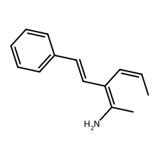 C\C=C/C(/C=C/c1ccccc1)=C(\C)N